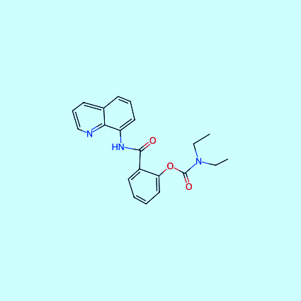 CCN(CC)C(=O)Oc1ccccc1C(=O)Nc1cccc2cccnc12